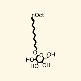 CCCCCCCCC=CCCCCCCCCO[C@H]1O[C@H](CO)[C@@H](O)[C@H](O)[C@H]1O